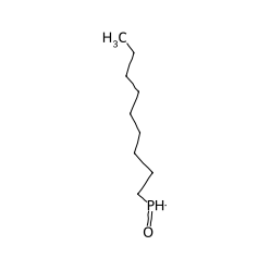 CCCCCCCCC[PH]=O